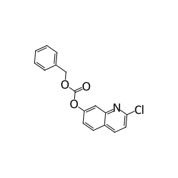 O=C(OCc1ccccc1)Oc1ccc2ccc(Cl)nc2c1